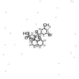 Cc1cc(Br)cc(S(=O)(=O)N(CP(=O)(O)O)c2cccc3ccccc23)c1